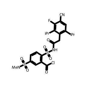 CNS(=O)(=O)c1ccc(S(=O)(=O)NC(=O)Cc2c(C(C)C)cc(C#N)c(F)c2C(C)C)c(C(=O)Cl)c1